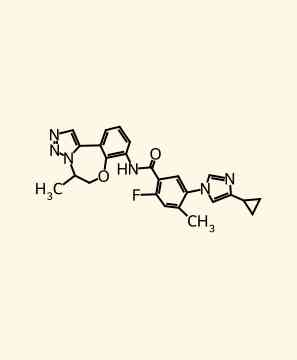 Cc1cc(F)c(C(=O)Nc2cccc3c2OCC(C)n2nncc2-3)cc1-n1cnc(C2CC2)c1